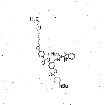 C=CCOCCCCCCOc1ccc(C(=O)Oc2ccc(OC(=O)C3CCC(CCCC)CC3)cc2C=NN(CCCCCC)c2nc3ccccc3s2)cc1